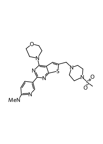 CNc1ccc(-c2nc(N3CCOCC3)c3cc(CN4CCN(S(C)(=O)=O)CC4)sc3n2)cn1